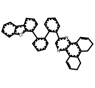 C1=Cc2c(c3c(c4nc(-c5ccccc5-c5ccccc5-c5cccc6c5oc5ccccc56)cnc24)C=CCC3)CC1